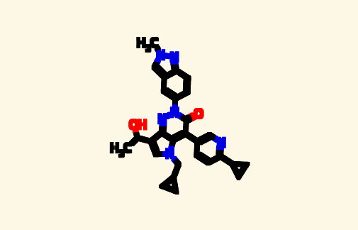 CC(O)c1cn(CC2CC2)c2c(-c3ccc(C4CC4)nc3)c(=O)n(-c3ccc4nn(C)cc4c3)nc12